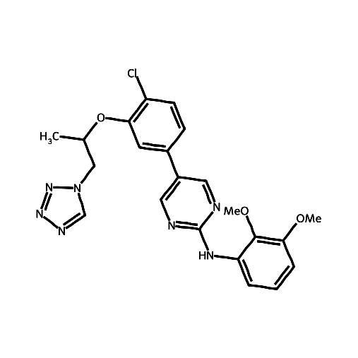 COc1cccc(Nc2ncc(-c3ccc(Cl)c(OC(C)Cn4cnnn4)c3)cn2)c1OC